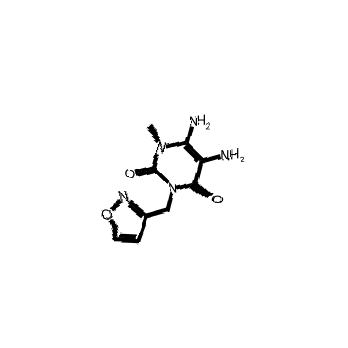 Cn1c(N)c(N)c(=O)n(Cc2ccon2)c1=O